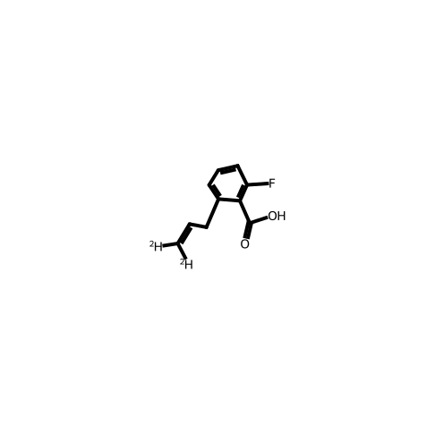 [2H]C([2H])=CCc1cccc(F)c1C(=O)O